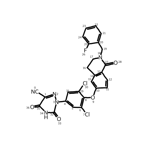 N#Cc1nn(-c2cc(Cl)c(Oc3ccc4c(c3)CCN(Cc3ccccc3F)C4=O)c(Cl)c2)c(=O)[nH]c1=O